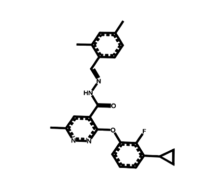 Cc1ccc(/C=N/NC(=O)c2cc(C)nnc2Oc2cccc(C3CC3)c2F)c(C)c1